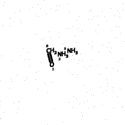 C=O.N.N